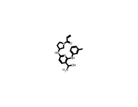 C=CC(=O)N1CCC(Nc2ccc(C(N)O)c(Nc3cccc(C)c3)n2)C1